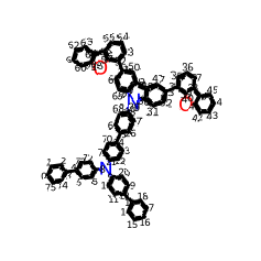 c1ccc(-c2ccc(N(c3ccc(-c4ccccc4)cc3)c3ccc(-c4ccc(-n5c6ccc(-c7cccc8c7oc7ccccc78)cc6c6cc(-c7cccc8c7oc7ccccc78)ccc65)cc4)cc3)cc2)cc1